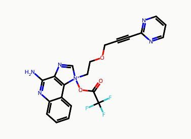 Nc1nc2ccccc2c2c1N=C[N+]2(CCOCC#Cc1ncccn1)OC(=O)C(F)(F)F